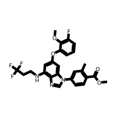 COC(=O)c1ccc(-n2cnc3c(NCCC(F)(F)F)cc(Oc4cccc(F)c4OC)cc32)cc1C